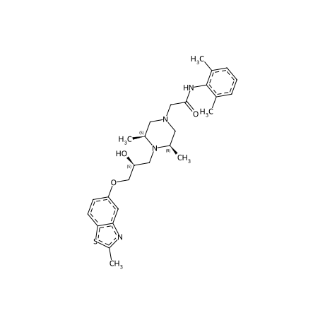 Cc1nc2cc(OC[C@@H](O)CN3[C@H](C)CN(CC(=O)Nc4c(C)cccc4C)C[C@@H]3C)ccc2s1